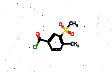 Cc1ccc(C(=O)Cl)cc1S(C)(=O)=O